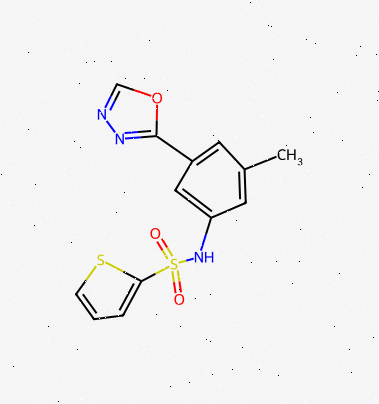 Cc1cc(NS(=O)(=O)c2cccs2)cc(-c2nnco2)c1